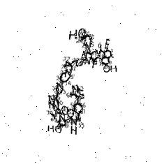 CCc1c(F)ccc2cc(O)cc(-c3ncc4c(N5CCC[C@@](C)(O)C5)nc(OCC5(CN6CCC(N7CC(c8cn([C@H](C(=O)N9C[C@H](O)C[C@H]9C(=O)N[C@@H](C)c9ccc(-c%10scnc%10C)cc9)C(C)C)nn8)C7)CC6)CC5)nc4c3F)c12